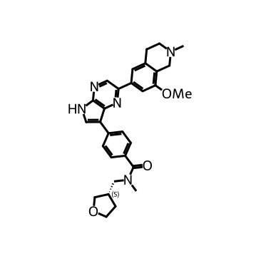 COc1cc(-c2cnc3[nH]cc(-c4ccc(C(=O)N(C)C[C@@H]5CCOC5)cc4)c3n2)cc2c1CN(C)CC2